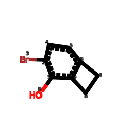 Oc1c(Br)ccc2c1CC2